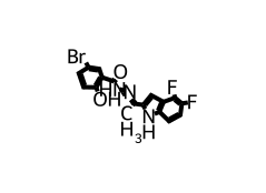 C/C(=N\NC(=O)c1cc(Br)ccc1O)c1cc2c(F)c(F)ccc2[nH]1